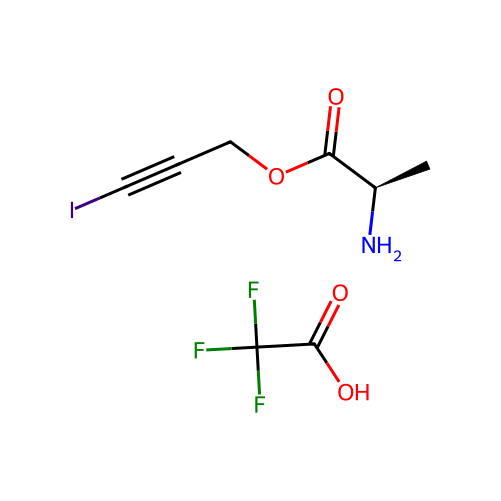 C[C@@H](N)C(=O)OCC#CI.O=C(O)C(F)(F)F